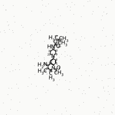 CC(=O)N1c2ccc(N3CCC(NC(=O)OC(C)(C)C)CC3)cc2C(N)[C@@H](C)[C@@H]1C